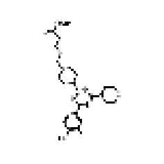 COC(=O)CCCCN1CCN(c2nc(-c3cnc(N)c(C(F)(F)F)c3)nc(N3CCOCC3)n2)CC1